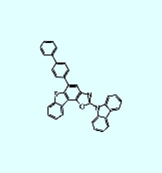 c1ccc(-c2ccc(-c3cc4nc(-n5c6ccccc6c6ccccc65)oc4c4c3sc3ccccc34)cc2)cc1